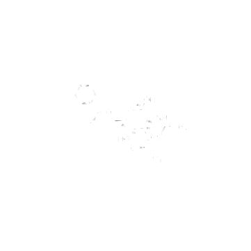 CC(=O)N[C@@H]1[C@@H](OC(C)=O)[C@H](O)[C@@H](COC(=O)c2ccccc2)O[C@H]1O